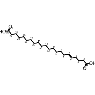 O=C(O)CCCC=CCCCCCCCCCCCCCCCC(=O)O